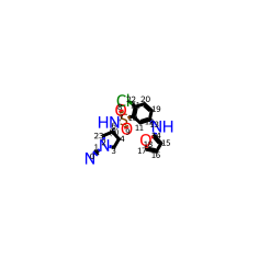 N#CN1CC[C@@H](NS(=O)(=O)c2cc(Nc3ccco3)ccc2Cl)C1